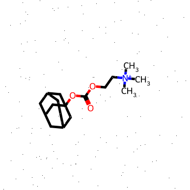 C[N+](C)(C)CCOC(=O)OC12CC3CC(CC(C3)C1)C2